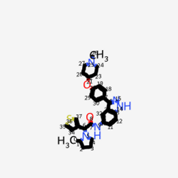 CC1CCCN1C(C(=O)Nc1ccc2[nH]nc(-c3ccc(OC4CCN(C)CC4)cc3)c2c1)c1ccsc1